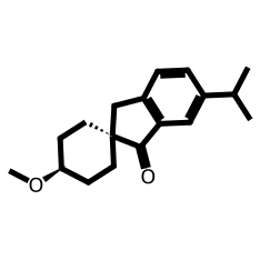 CO[C@H]1CC[C@]2(CC1)Cc1ccc(C(C)C)cc1C2=O